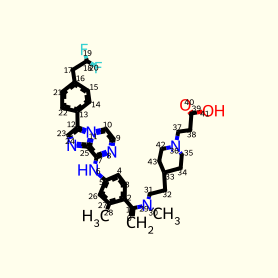 C=C(c1ccc(Nc2nccn3c(-c4ccc(CC(F)F)cc4)cnc23)cc1C)N(C)CCC1CCN(CCC(=O)O)CC1